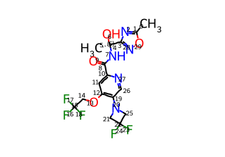 Cc1nc([C@](C)(O)NC(=O)c2cc(OCC(F)(F)F)c(N3CC(F)(F)C3)cn2)no1